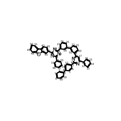 c1ccc(-c2ccc(-c3nc(-c4ccccc4)cc(-c4cccc(-c5cccc(-c6nc(-c7ccccc7)nc(-c7ccc8c(c7)oc7ccccc78)n6)c5)c4)n3)cc2)cc1